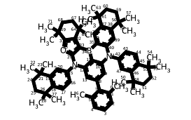 Cc1cccc(C)c1-c1cc2c3c(c1)N(c1ccc4c(c1)C(C)(C)CCC4(C)C)c1oc4c(c1B3c1cc3c(cc1N2c1ccc2c(c1)C(C)(C)CCC2(C)C)C(C)(C)CCC3(C)C)C(C)(C)CCC4(C)C